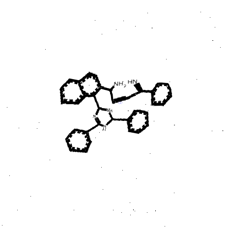 N=C(/C=C\C(N)c1ccc2ccccc2c1C1N=C(c2ccccc2)NC(c2ccccc2)N1)c1ccccc1